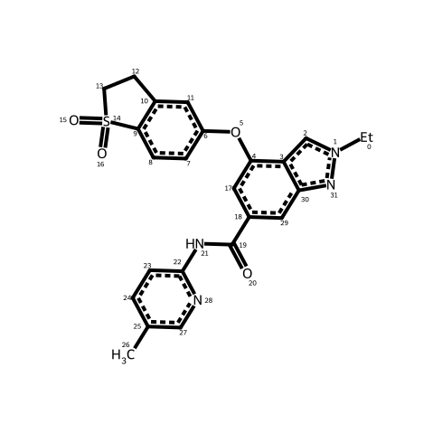 CCn1cc2c(Oc3ccc4c(c3)CCS4(=O)=O)cc(C(=O)Nc3ccc(C)cn3)cc2n1